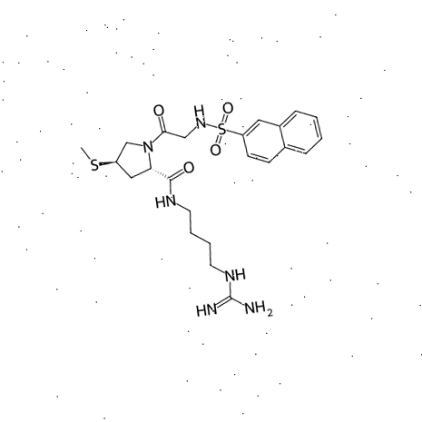 CS[C@@H]1C[C@@H](C(=O)NCCCCNC(=N)N)N(C(=O)CNS(=O)(=O)c2ccc3ccccc3c2)C1